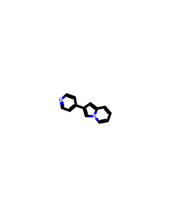 c1ccn2cc(-c3ccncc3)cc2c1